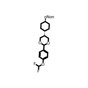 CCCCCCCCC[C@H]1CC[C@H](C2COC(c3ccc(OC(F)F)cc3)OC2)CC1